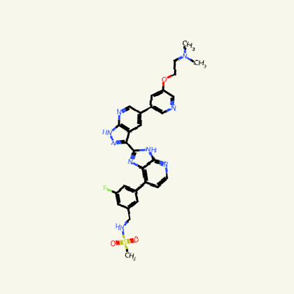 CN(C)CCOc1cncc(-c2cnc3[nH]nc(-c4nc5c(-c6cc(F)cc(CNS(C)(=O)=O)c6)ccnc5[nH]4)c3c2)c1